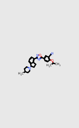 CC1CCN(C2CCc3c(-c4noc(-c5ccc(OC(C)C)c(C#N)c5)n4)cccc32)CC1